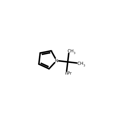 CCCC(C)(C)n1[c]ccc1